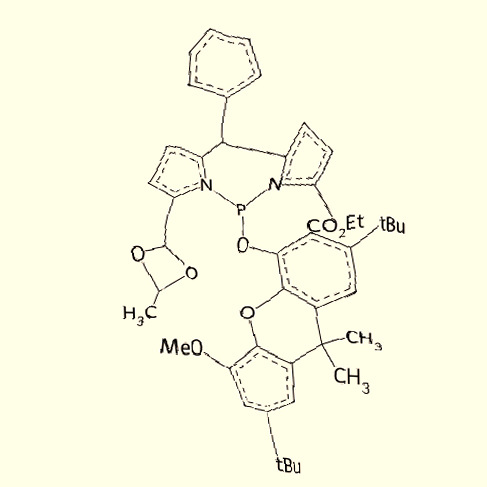 CCOC(=O)c1ccc2n1P(Oc1cc(C(C)(C)C)cc3c1Oc1c(OC)cc(C(C)(C)C)cc1C3(C)C)n1c(C3OC(C)O3)ccc1C2c1ccccc1